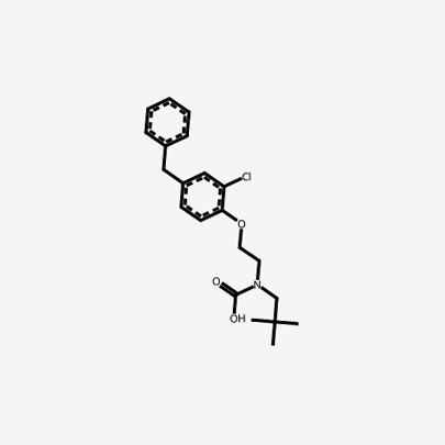 CC(C)(C)CN(CCOc1ccc(Cc2ccccc2)cc1Cl)C(=O)O